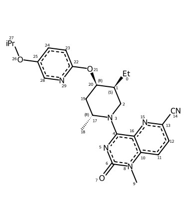 CC[C@H]1CN(c2nc(=O)n(C)c3ccc(C#N)nc23)[C@H](C)C[C@H]1Oc1ccc(OC(C)C)cn1